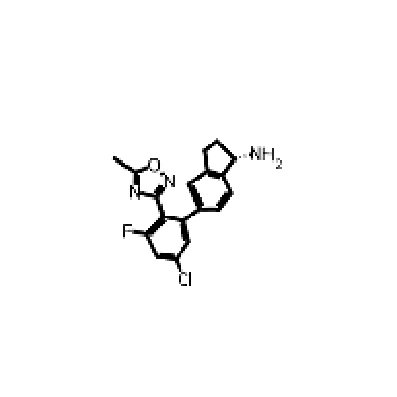 Cc1nc(-c2c(F)cc(Cl)cc2-c2ccc3c(c2)CC[C@@H]3N)no1